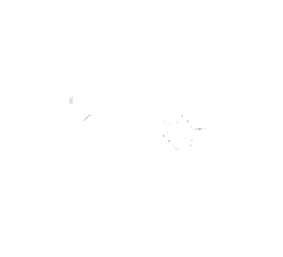 CCC(C)C(=O)OCC1CCC(n2cc(C)c(=O)[nH]c2=O)O1